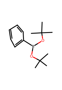 CC(C)(C)OB(OC(C)(C)C)c1ccccc1